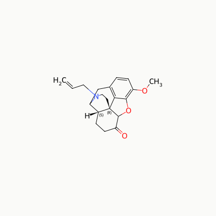 C=CCN1CC[C@@]23c4c5ccc(OC)c4OC2C(=O)CC[C@@H]3C1C5